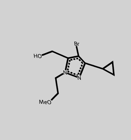 COCCn1nc(C2CC2)c(Br)c1CO